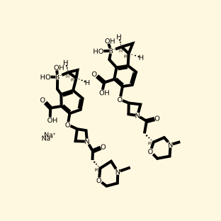 CN1CCO[C@H](CC(=O)N2CC(Oc3ccc4c(c3C(=O)O)C[B-](O)(O)[C@H]3C[C@@H]43)C2)C1.CN1CCO[C@H](CC(=O)N2CC(Oc3ccc4c(c3C(=O)O)C[B-](O)(O)[C@H]3C[C@@H]43)C2)C1.[Na+].[Na+]